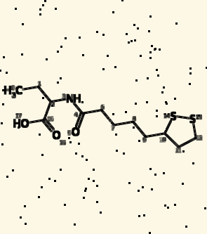 CCC(NC(=O)CCCCC1CCSS1)C(=O)O